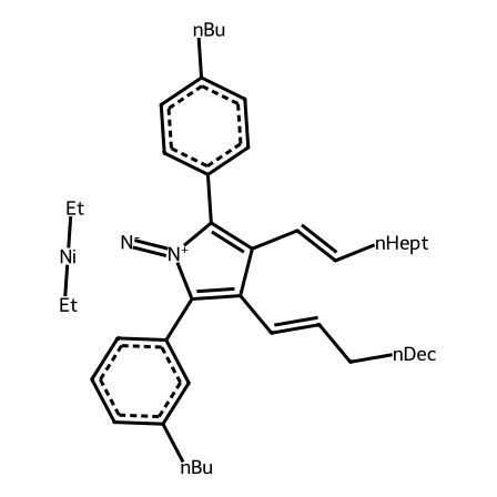 CCCCCCCC=CC1=C(c2ccc(CCCC)cc2)[N+](=[N-])C(c2cccc(CCCC)c2)=C1C=CCCCCCCCCCCC.C[CH2][Ni][CH2]C